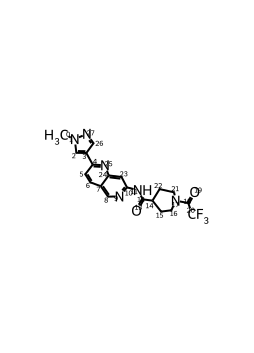 Cn1cc(-c2ccc3cnc(NC(=O)C4CCN(C(=O)C(F)(F)F)CC4)cc3n2)cn1